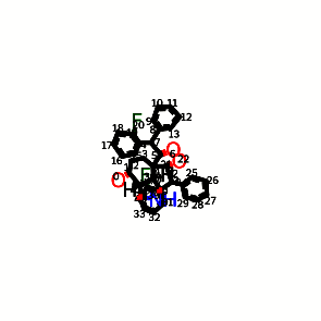 O=C1CCC(C(=O)C(c2ccccc2)c2ccccc2F)(C(=O)C(c2ccccc2)c2ccccc2F)[C@@H]2CNC[C@H]12